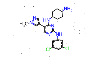 Cn1cc(-c2cnc(Nc3cc(Cl)cc(Cl)c3)nc2NC2CCC(N)CC2)cn1